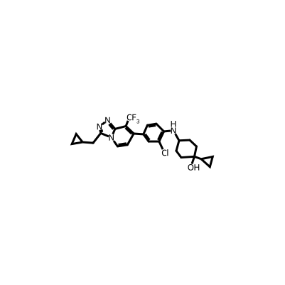 OC1(C2CC2)CCC(Nc2ccc(-c3ccn4c(CC5CC5)nnc4c3C(F)(F)F)cc2Cl)CC1